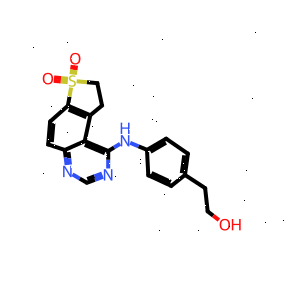 O=S1(=O)CCc2c1ccc1ncnc(Nc3ccc(CCO)cc3)c21